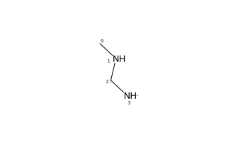 CN[CH][NH]